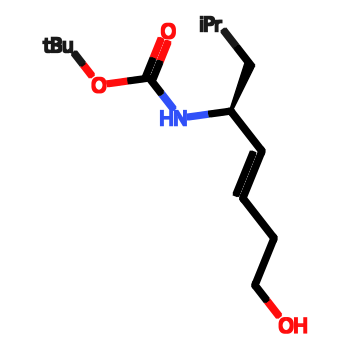 CC(C)C[C@@H](/C=C/CCO)NC(=O)OC(C)(C)C